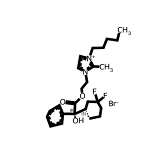 CCCCC[n+]1ccn(CCOC(=O)[C@](O)(c2ccccc2)[C@H]2CCCC(F)(F)C2)c1C.[Br-]